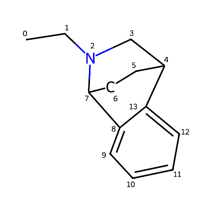 CCN1CC2CCC1c1ccccc12